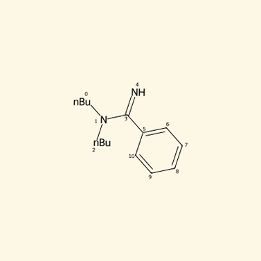 CCCCN(CCCC)C(=N)c1ccccc1